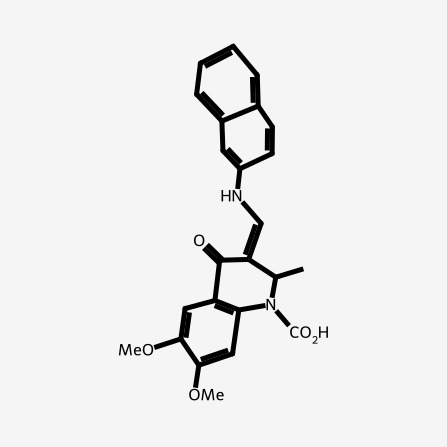 COc1cc2c(cc1OC)N(C(=O)O)C(C)C(=CNc1ccc3ccccc3c1)C2=O